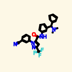 CN(C)C(c1ccccc1)c1cccc(NC(=O)c2cc(C(F)(F)F)nn2-c2cccc(C#N)c2)c1